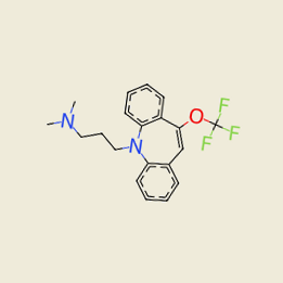 CN(C)CCCN1c2ccccc2C=C(OC(F)(F)F)c2ccccc21